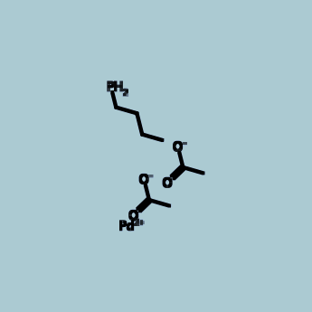 CC(=O)[O-].CC(=O)[O-].CCCCP.[Pd+2]